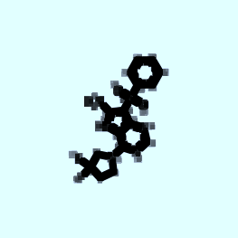 Nc1[nH]c2c(N3CCC(F)(F)C3)ncnc2c1S(=O)(=O)c1ccccc1